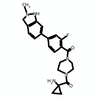 CN1Cc2ccc(-c3ccc(C(=O)N4CCN(C(=O)C5(N)CC5)CC4)c(F)c3)cc2N1